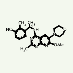 COc1nc2nc(C)nc(N[C@H](C)c3cccc(C#N)c3C)c2cc1N1CCOCC1